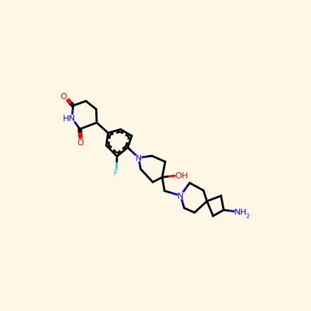 NC1CC2(CCN(CC3(O)CCN(c4ccc(C5CCC(=O)NC5=O)cc4F)CC3)CC2)C1